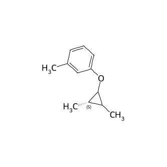 Cc1cccc(OC2C(C)[C@@H]2C)c1